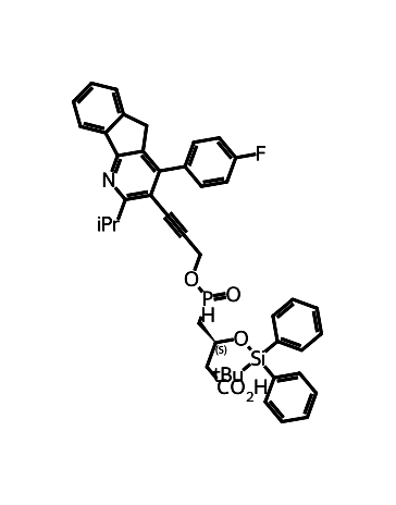 CC(C)c1nc2c(c(-c3ccc(F)cc3)c1C#CCO[PH](=O)C[C@H](CC(=O)O)O[Si](c1ccccc1)(c1ccccc1)C(C)(C)C)Cc1ccccc1-2